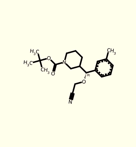 Cc1cccc([C@H](OCC#N)C2CCCN(C(=O)OC(C)(C)C)C2)c1